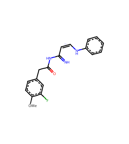 COc1ccc(CC(=O)NC(=N)/C=C\Nc2ccccc2)cc1F